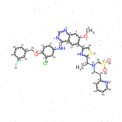 COc1cc2ncnc(Nc3ccc(OCc4cccc(F)c4)c(Cl)c3)c2cc1-c1csc(C(C)N(C=S(=O)=O)CCc2ccccn2)n1